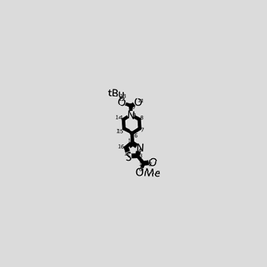 COC(=O)c1nc(C2CCN(C(=O)OC(C)(C)C)CC2)cs1